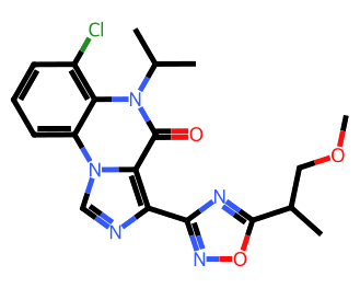 COCC(C)c1nc(-c2ncn3c2c(=O)n(C(C)C)c2c(Cl)cccc23)no1